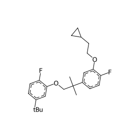 CC(C)(C)c1ccc(F)c(OCC(C)(C)c2ccc(F)c(OCCC3CC3)c2)c1